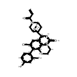 C=CC(=O)N1CC2CCC1CN2c1nc(=O)n2c3c(c(-c4ccc(F)cc4F)c(Cl)cc13)SCC2